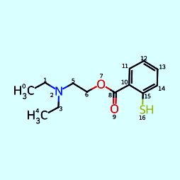 CCN(CC)CCOC(=O)c1ccccc1S